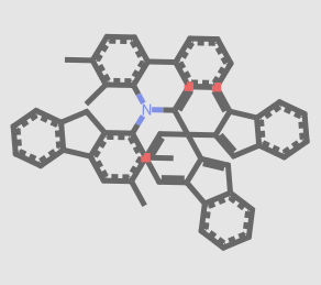 Cc1ccc(-c2ccccc2)c(N(C2=CC=C3C(=Cc4ccccc43)C23C=CC=C2C3=Cc3ccccc32)c2c(C)c(C)cc3c2Cc2ccccc2-3)c1C